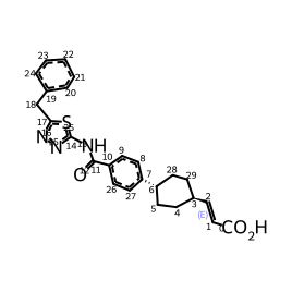 O=C(O)/C=C/[C@H]1CC[C@H](c2ccc(C(=O)Nc3nnc(Cc4ccccc4)s3)cc2)CC1